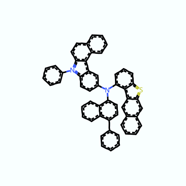 c1ccc(-c2ccc(N(c3ccc4c(c3)c3c5ccccc5ccc3n4-c3ccccc3)c3cccc4sc5cc6ccccc6cc5c34)c3ccccc23)cc1